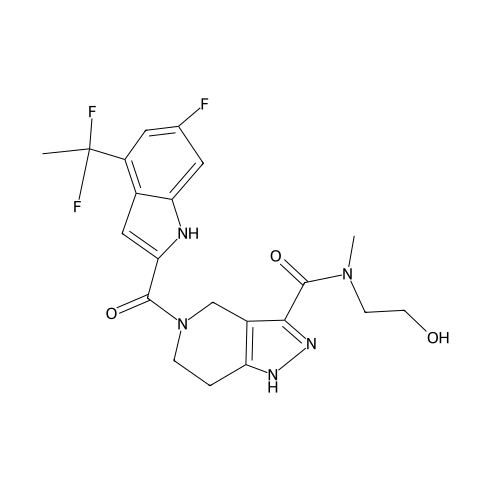 CN(CCO)C(=O)c1n[nH]c2c1CN(C(=O)c1cc3c(C(C)(F)F)cc(F)cc3[nH]1)CC2